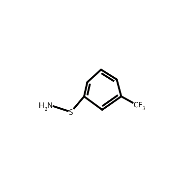 NSc1cccc(C(F)(F)F)c1